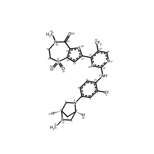 CCc1cc(N2C[C@H]3C[C@@H]2CN3C)ccc1Nc1ncc(C(F)(F)F)c(-c2cc3c(s2)C(=O)N(C)CCS3(=O)=O)n1